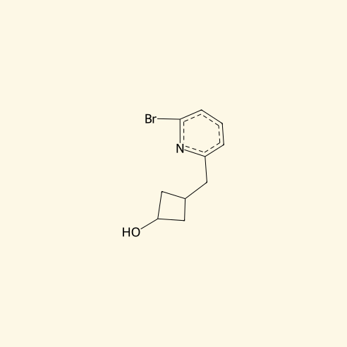 OC1CC(Cc2cccc(Br)n2)C1